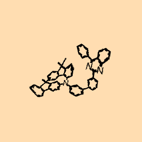 CC1(C)c2ccccc2-c2ccc(N(c3cccc(-c4cccc(-c5nc(-c6ccccc6)c6ccccc6n5)c4)c3)c3cccc4c3-c3ccccc3C4(C)C)cc21